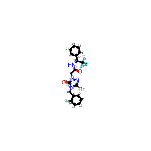 O=C(Cn1nc(Br)n(Cc2ccccc2F)c1=O)NC(c1ccccc1)C(F)(F)F